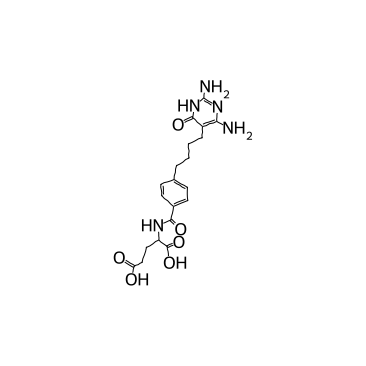 Nc1nc(N)c(CCCCc2ccc(C(=O)NC(CCC(=O)O)C(=O)O)cc2)c(=O)[nH]1